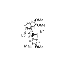 CC[C@H]1CN2CCc3cc(OC)c(OC)cc3[C@@H]2C[C@@H]1C[C@H]1NCCc2cc(OC)c(OC)cc21.[H+]